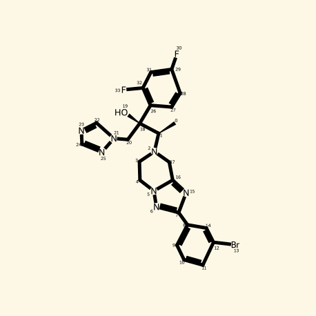 C[C@@H](N1CCn2nc(-c3cccc(Br)c3)nc2C1)[C@](O)(Cn1cncn1)c1ccc(F)cc1F